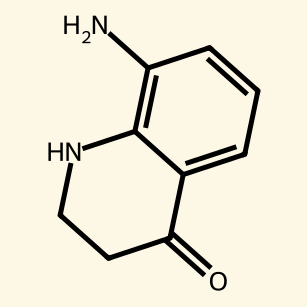 Nc1cccc2c1NCCC2=O